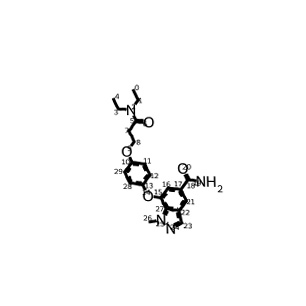 CCN(CC)C(=O)CCOc1ccc(Oc2cc(C(N)=O)cc3cnn(C)c23)cc1